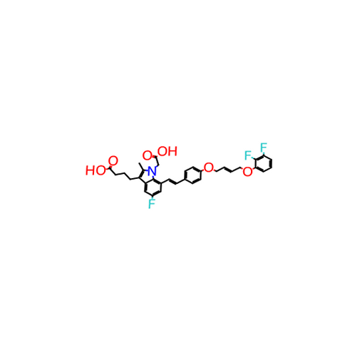 Cc1c(CCCC(=O)O)c2cc(F)cc(/C=C/c3ccc(OC/C=C/COc4cccc(F)c4F)cc3)c2n1CC(=O)O